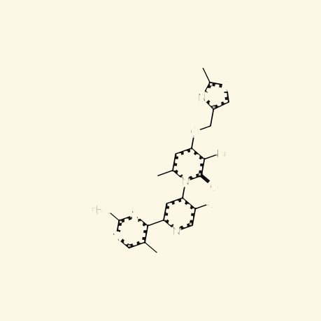 Cc1nc(COc2cc(C)n(-c3cc(-c4nc(C(C)(C)C)ncc4C)ncc3Cl)c(=O)c2Br)cs1